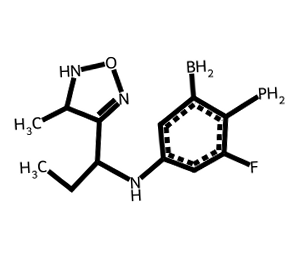 Bc1cc(NC(CC)C2=NONC2C)cc(F)c1P